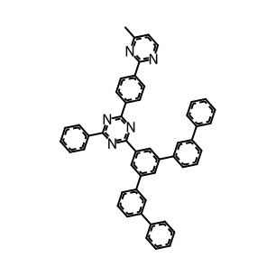 Cc1ccnc(-c2ccc(-c3nc(-c4ccccc4)nc(-c4cc(-c5cccc(-c6ccccc6)c5)cc(-c5cccc(-c6ccccc6)c5)c4)n3)cc2)n1